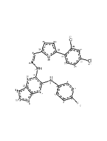 Fc1ccc(Nc2nc3nonc3nc2N/N=C\c2ccc(-c3ccc(Cl)cc3Cl)o2)cc1